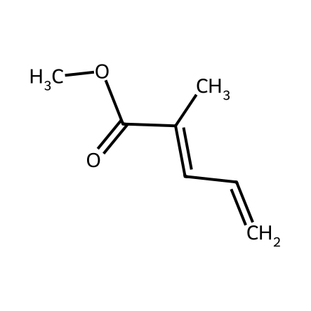 C=C/C=C(\C)C(=O)OC